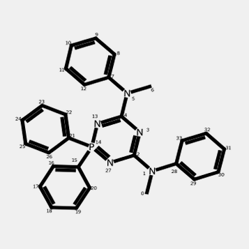 CN(C1=NC(N(C)c2ccccc2)=NP(c2ccccc2)(c2ccccc2)=N1)c1ccccc1